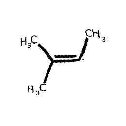 C[C]=C(C)C